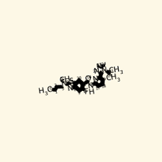 CCCCN(C)c1nc2cc(F)c(C(=O)Nc3cccc(-c4nncn4C(C)C)n3)cc2s1